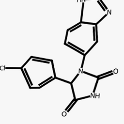 O=C1NC(=O)N(c2ccc3[nH]cnc3c2)C1c1ccc(Cl)cc1